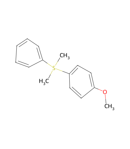 COc1ccc(S(C)(C)c2ccccc2)cc1